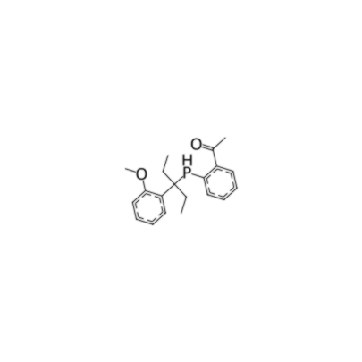 CCC(CC)(Pc1ccccc1C(C)=O)c1ccccc1OC